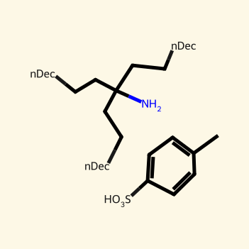 CCCCCCCCCCCCC(N)(CCCCCCCCCCCC)CCCCCCCCCCCC.Cc1ccc(S(=O)(=O)O)cc1